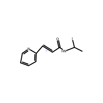 CC(I)NC(=O)/C=C/c1ccccn1